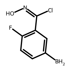 Bc1ccc(F)c(/C(Cl)=N\O)c1